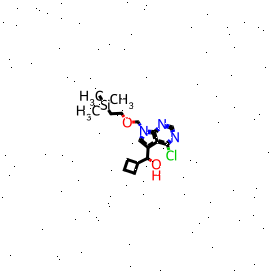 C[Si](C)(C)CCOCn1cc(C(O)C2CCC2)c2c(Cl)ncnc21